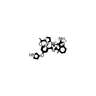 C[C@H](Oc1cc(O[C@@H]2CCNC2)cc(-c2noc([C@@]3(C)CCCc4sc(N)c(C#N)c43)n2)n1)[C@@H]1CCCN1C